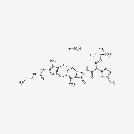 Cn1c(N)c(NC(=O)NCCN)c[n+]1CC1=C(C(=O)O)N2C(=O)[C@@H](NC(=O)C(=NOC(C)(C)C(=O)O)c3nsc(N)n3)C2SC1.O=S(=O)([O-])O